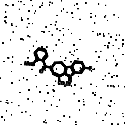 CCOC(=O)C1=CN(C(=O)c2ccccc2OC)CCc2c1[nH]c1cc(F)ccc21